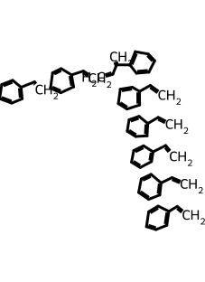 C=CC(=C)c1ccccc1.C=Cc1ccccc1.C=Cc1ccccc1.C=Cc1ccccc1.C=Cc1ccccc1.C=Cc1ccccc1.C=Cc1ccccc1.C=Cc1ccccc1